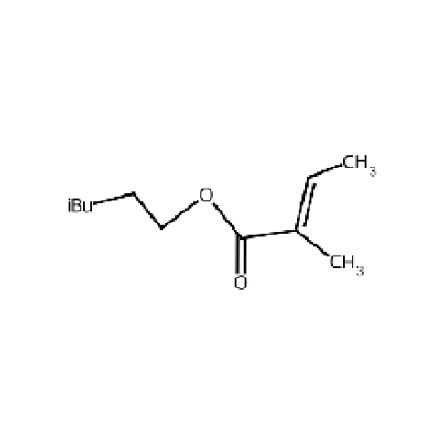 CC=C(C)C(=O)OCCC(C)CC